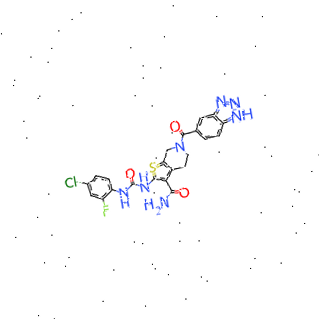 NC(=O)c1c(NC(=O)Nc2ccc(Cl)cc2F)sc2c1CCN(C(=O)c1ccc3[nH]nnc3c1)C2